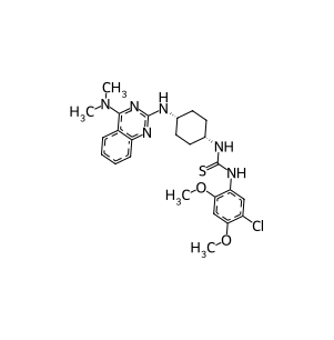 COc1cc(OC)c(NC(=S)N[C@H]2CC[C@@H](Nc3nc(N(C)C)c4ccccc4n3)CC2)cc1Cl